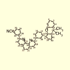 CC1(C)c2ccccc2Oc2c(-c3cccc(-c4ccc5ccc6ccc(-c7cccc(C#N)c7)nc6c5n4)c3)cccc21